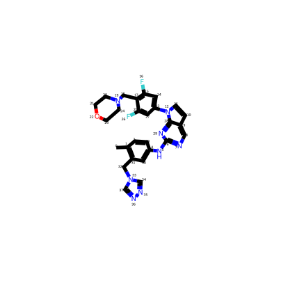 Cc1ccc(Nc2ncc3ccn(-c4cc(F)c(CN5CCOCC5)c(F)c4)c3n2)cc1Cn1cnnc1